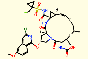 COc1ccc2c(O[C@@H]3C[C@H]4C(=O)N[C@]5(C(=O)NS(=O)(=O)C6(CF)CC6)C[C@H]5/C=C\CC[C@@H](C)C[C@@H](C)[C@H](NC(=O)O)C(=O)N4C3)nc(Cl)cc2c1